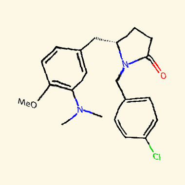 COc1ccc(C[C@@H]2CCC(=O)N2Cc2ccc(Cl)cc2)cc1N(C)C